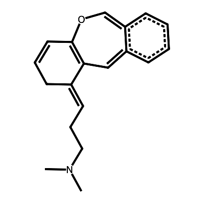 CN(C)CCC=C1CC=CC2=C1C=c1ccccc1=CO2